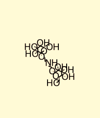 OC[C@H]1O[C@H](OCCNCCO[C@H]2O[C@H](CO)[C@@H](O)[C@H](O)[C@@H]2O)[C@@H](O)[C@@H](O)[C@@H]1O